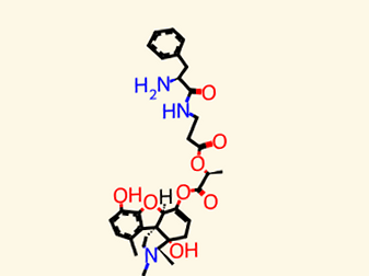 Cc1ccc(O)c2c1[C@]13CCN(C)[C@H](C)[C@]1(O)CC=C(OC(=O)[C@H](C)OC(=O)CCNC(=O)[C@@H](N)Cc1ccccc1)[C@@H]3O2